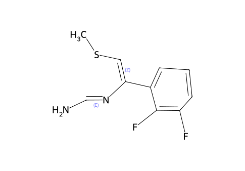 CS/C=C(\N=C\N)c1cccc(F)c1F